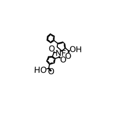 O=C(O)C1=CC=C(c2ccccc2)CC1(F)N1C(=O)c2ccc(C(=O)O)cc2C1=O